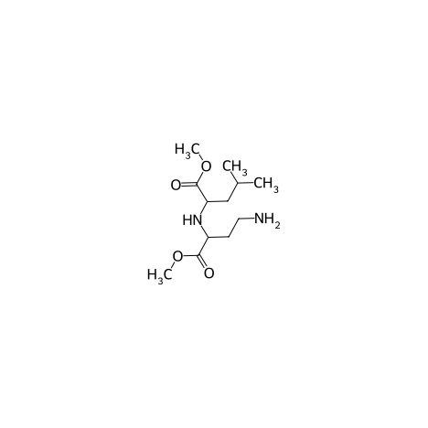 COC(=O)C(CCN)NC(CC(C)C)C(=O)OC